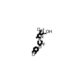 Cc1cc2c(nc1N1CC[C@@H](Oc3ccc4c(c3)COC4)[C@@H](F)C1)[C@H](CO)N(C)C2=O